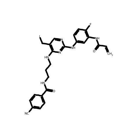 C=CC(=O)Nc1cc(Nc2ncc(CI)c(NCCCNC(=O)c3ccc(C#N)cc3)n2)ccc1F